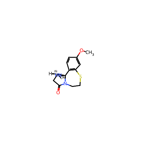 COc1ccc2c(c1)SCCN1C(=O)C[C@H]3CNC[C@]231